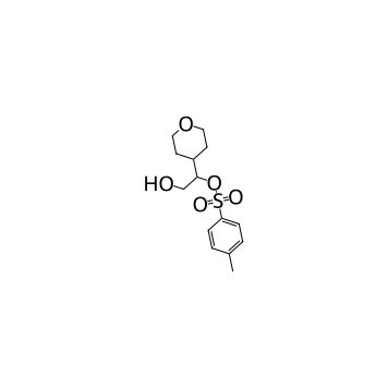 Cc1ccc(S(=O)(=O)OC(CO)C2CCOCC2)cc1